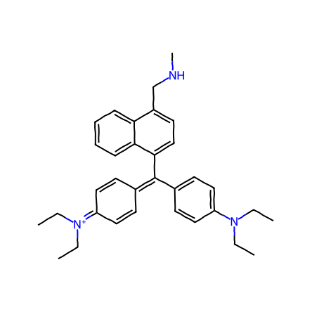 CCN(CC)c1ccc(C(=C2C=CC(=[N+](CC)CC)C=C2)c2ccc(CNC)c3ccccc23)cc1